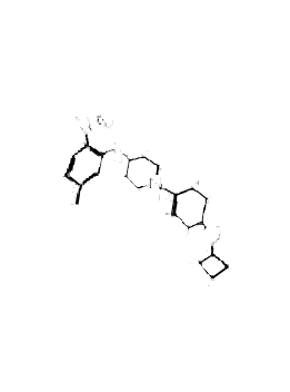 Cc1ccc([N+](=O)[O-])c(NC2CCN(C3CCC(OC4CCC4)CC3)CC2)c1